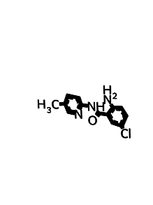 Cc1ccc(NC(=O)c2cc(Cl)ccc2N)nc1